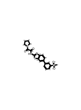 CS(=O)(=O)c1cccc(-c2ccc3nc(NC(=O)C(=O)N4CCCC4)sc3c2)c1